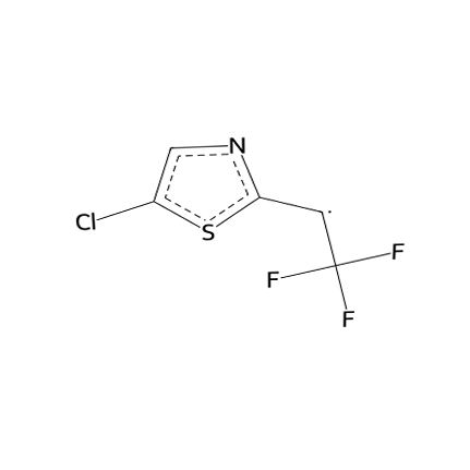 FC(F)(F)[CH]c1ncc(Cl)s1